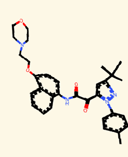 Cc1ccc(-n2nc(C(C)(C)C)cc2C(=O)C(=O)Nc2ccc(OCCN3CCOCC3)c3ccccc23)cc1F